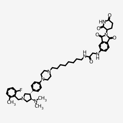 Cc1cccc(F)c1CN1C[C@H](c2ccc(N3CCN(CCCCCCCCNC(=O)CNc4ccc5c(c4)C(=O)N(C4CCC(=O)NC4=O)C5=O)CC3)cc2)[C@@H](N(C)C)C1